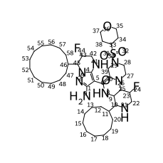 Nc1nn2c(c1C(=O)NC1C(C3CCCCCCCCC3)NCC(F)C1N1CCN(S(=O)(=O)C3CCOCC3)CC1)NCC(F)C2C1CCCCCCCCCCCC1